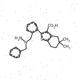 CC1(C)CCc2sc(-c3ccccc3CN(N)Cc3ccccc3)c(C(=O)O)c2C1